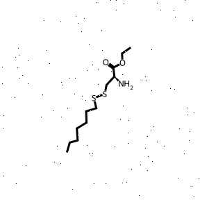 CCCCCCCSSC[C@H](N)C(=O)OCC